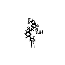 Cc1ccc(C(=O)Nc2cncc(C(F)(F)F)c2)cc1C1CCNC1.Cl